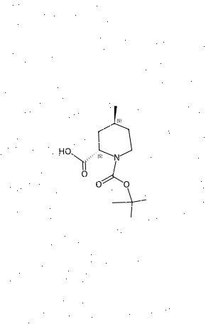 C[C@H]1CCN(C(=O)OC(C)(C)C)[C@H](C(=O)O)C1